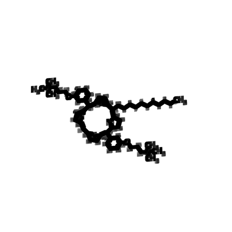 CCCCCCCCCCCC1=C2C=CC(=N2)C(c2cccc(OCCC[N+](C)(C)C)c2)=C2C=CC(=N2)C=C2C=CC(=N2)C(c2cccc(OCCC[N+](C)(C)C)c2)=C2C=CC1=N2